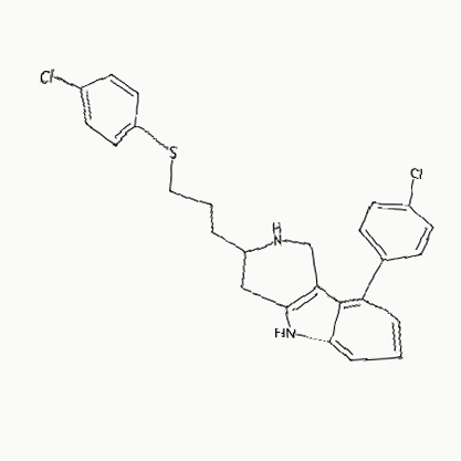 Clc1ccc(SCCCC2Cc3[nH]c4cccc(-c5ccc(Cl)cc5)c4c3CN2)cc1